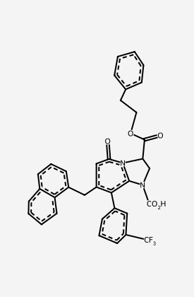 O=C(OCCc1ccccc1)C1CN(C(=O)O)c2c(-c3cccc(C(F)(F)F)c3)c(Cc3cccc4ccccc34)cc(=O)n21